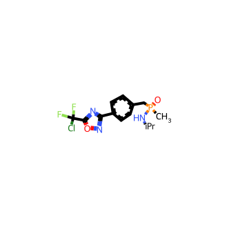 CC(C)NP(C)(=O)Cc1ccc(-c2noc(C(F)(F)Cl)n2)cc1